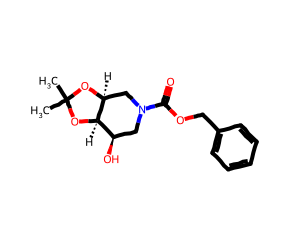 CC1(C)O[C@@H]2[C@H](O)CN(C(=O)OCc3ccccc3)C[C@@H]2O1